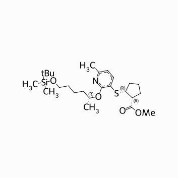 COC(=O)[C@H]1CCC[C@H]1Sc1ccc(C)nc1O[C@H](C)CCCCO[Si](C)(C)C(C)(C)C